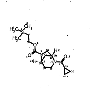 C[Si](C)(C)CCOC(=O)N1C[C@H]2C[C@H]1CCN2C(=O)C1CC1